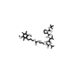 COc1c(C)c(C)c(OC)c(CCCOC(=O)NCCC[C@H](NC(=O)[C@@H](NC(=O)C2CCCN2C(=O)OC(C)(C)C)C(C)C)C(=O)NC(C)C)c1C